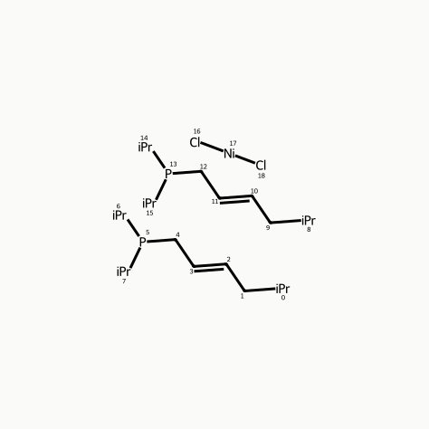 CC(C)CC=CCP(C(C)C)C(C)C.CC(C)CC=CCP(C(C)C)C(C)C.[Cl][Ni][Cl]